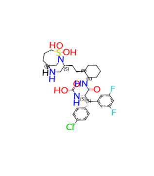 O=C(O)N[C@H](C(=O)N[C@H]1CCCC[C@@H]1CC[C@H]1CN[C@@H]2CCCS(O)(O)N1C2)[C@@H](c1ccc(Cl)cc1)c1cc(F)cc(F)c1